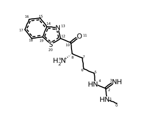 CNC(=N)NCCC[C@H](N)C(=O)c1nc2ccccc2s1